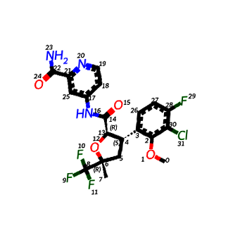 COc1c([C@@H]2C[C@](C)(C(F)(F)F)O[C@H]2C(=O)Nc2ccnc(C(N)=O)c2)ccc(F)c1Cl